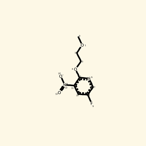 COCCOc1ncc(F)cc1[N+](=O)[O-]